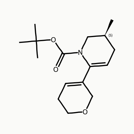 C[C@H]1CC=C(C2=CCCOC2)N(C(=O)OC(C)(C)C)C1